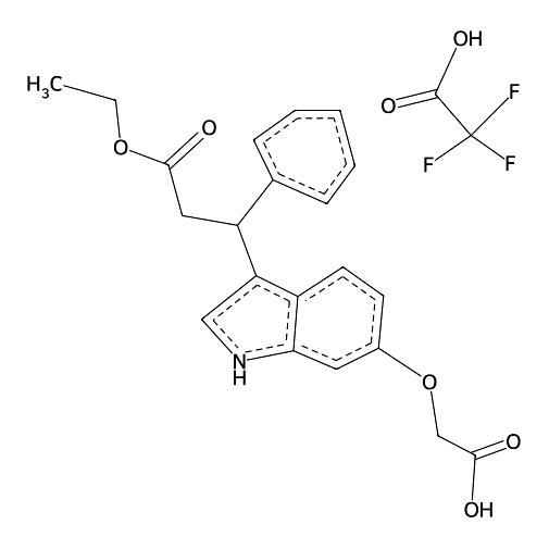 CCOC(=O)CC(c1ccccc1)c1c[nH]c2cc(OCC(=O)O)ccc12.O=C(O)C(F)(F)F